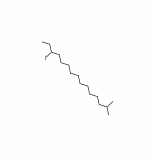 CCC(I)CCCCCCCCCCC(C)C